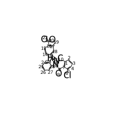 Cc1cccc(Cl)c1C(=O)n1nc(-c2ccc3c(c2)COC3=O)c2ccccc21